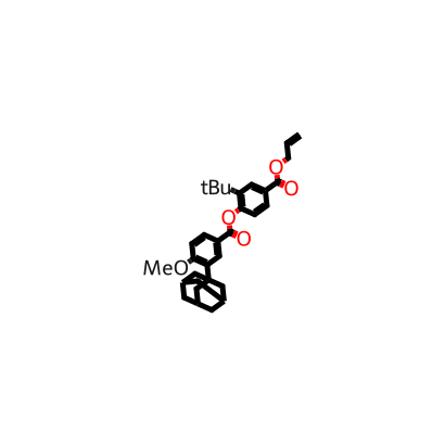 C=CCOC(=O)c1ccc(OC(=O)c2ccc(OC)c(C34CC5CC(CC(C5)C3)C4)c2)c(C(C)(C)C)c1